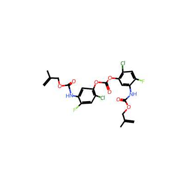 C=C(C)COC(=O)Nc1cc(OC(=O)Oc2cc(NC(=O)OCC(=C)C)c(F)cc2Cl)c(Cl)cc1F